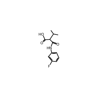 CC(C)C(C(=O)O)C(=O)Nc1cccc(F)c1